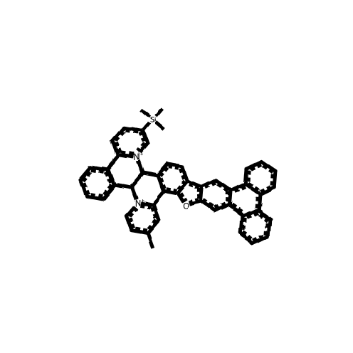 Cc1cc[n+]2c(c1)-c1c(ccc3c1oc1cc4c5ccccc5c5ccccc5c4cc13)C1C2c2ccccc2-c2ccc([Si](C)(C)C)c[n+]21